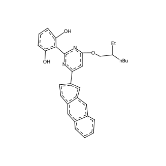 CCCCC(CC)COc1cc(-c2ccc3cc4ccccc4cc3c2)nc(-c2c(O)cccc2O)n1